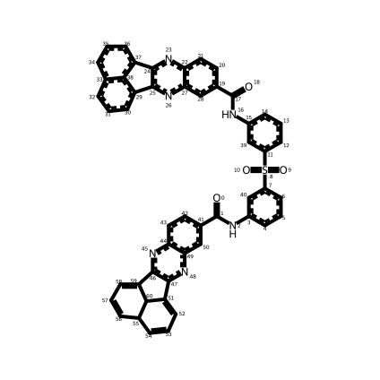 O=C(Nc1cccc(S(=O)(=O)c2cccc(NC(=O)c3ccc4nc5c(nc4c3)-c3cccc4cccc-5c34)c2)c1)c1ccc2nc3c(nc2c1)C1=CC=CC2C=CC=C3C12